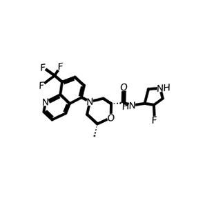 C[C@@H]1CN(c2ccc(C(F)(F)F)c3ncccc23)C[C@H](C(=O)NC2CNCC2F)O1